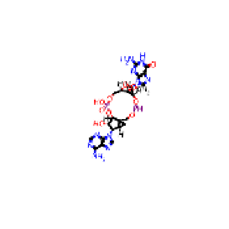 CO[C@H]1[C@H]2OPOC[C@@]34C[C@@H]3[C@@H](n3cnc5c(N)ncnc53)[C@H](O)[C@@H]4OP(=O)(O)OC[C@H]1O[C@H]2n1cnc2c(=O)[nH]c(N)nc21